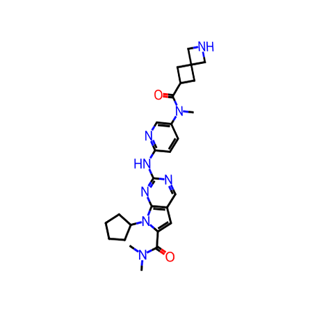 CN(C)C(=O)c1cc2cnc(Nc3ccc(N(C)C(=O)C4CC5(CNC5)C4)cn3)nc2n1C1CCCC1